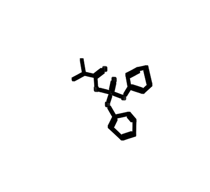 CC(C)C(=O)OP(=O)(Oc1ccccc1)Oc1ccccc1